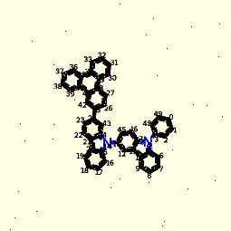 c1ccc(-n2c3ccccc3c3cc(-n4c5ccccc5c5ccc(-c6ccc7c8ccccc8c8ccccc8c7c6)cc54)ccc32)cc1